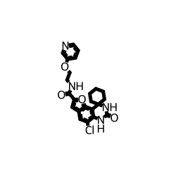 O=C1Nc2c(Cl)cc3cc(C(=O)NCCOc4cccnc4)oc3c2C2(CCCCC2)N1